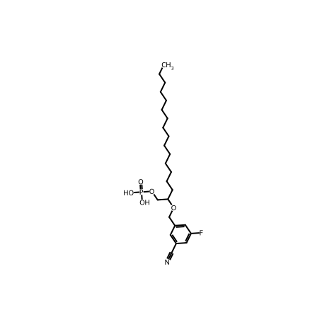 CCCCCCCCCCCCCCCC(COP(=O)(O)O)OCc1cc(F)cc(C#N)c1